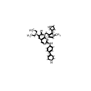 CCN(CC)c1cc2cnc(Nc3ccc(C4=CCNCC4)cc3)nc2n(Cc2ccn(C)c2C2CCNC2)c1=O